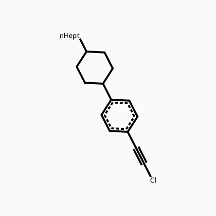 CCCCCCCC1CCC(c2ccc(C#CCl)cc2)CC1